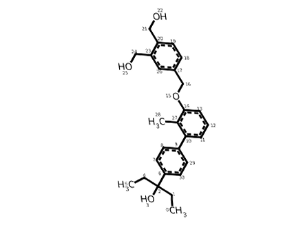 CCC(O)(CC)c1ccc(-c2cccc(OCc3ccc(CO)c(CO)c3)c2C)cc1